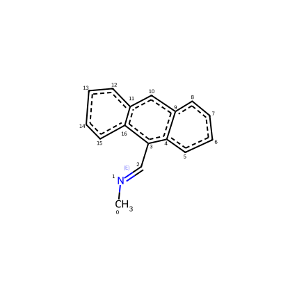 C/N=C/c1c2ccccc2cc2ccccc12